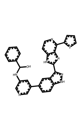 OC(Nc1cncc(-c2ccc3[nH]nc(-c4nc5c(-c6cccs6)nccc5[nH]4)c3c2)c1)c1ccccc1